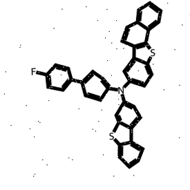 Fc1ccc(-c2ccc(N(c3ccc4c(c3)sc3ccccc34)c3ccc4sc5c6ccccc6ccc5c4c3)cc2)cc1